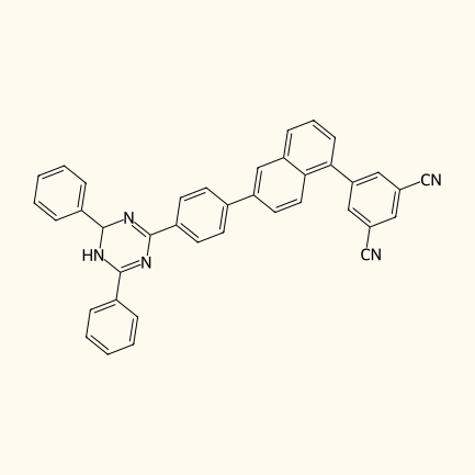 N#Cc1cc(C#N)cc(-c2cccc3cc(-c4ccc(C5=NC(c6ccccc6)NC(c6ccccc6)=N5)cc4)ccc23)c1